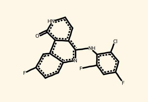 O=c1[nH]ccc2c(Nc3c(F)cc(F)cc3Cl)nc3ccc(F)cc3c12